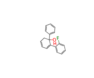 OC1(c2ccccc2)CC=CC=C1c1ccccc1F